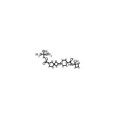 BC(B)(B)COC(=O)N1CCC2(CC(N3CCC(C(=O)NC4(C)CCC4)CC3)C2)C1